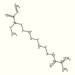 C=CC(=O)N(CC)CCOCCOCCOC(=O)C(=C)C